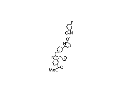 COC(=O)c1ccc2nc(CN3CCC(c4cccc(OCc5nc6cc(F)ccc6o5)n4)CC3)n(CC3CCO3)c2c1